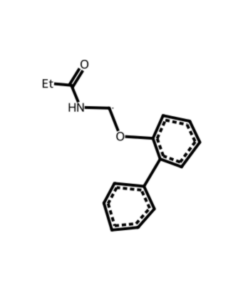 CCC(=O)N[CH]Oc1ccccc1-c1ccccc1